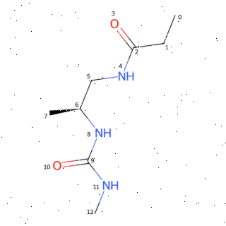 CCC(=O)NC[C@H](C)NC(=O)NC